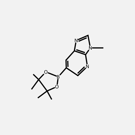 Cn1cnc2cc(B3OC(C)(C)C(C)(C)O3)cnc21